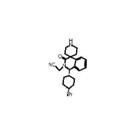 CC(C)[C@H]1CC[C@@H](C2c3ccccc3C3(CCNCC3)C(=O)N2CC#N)CC1